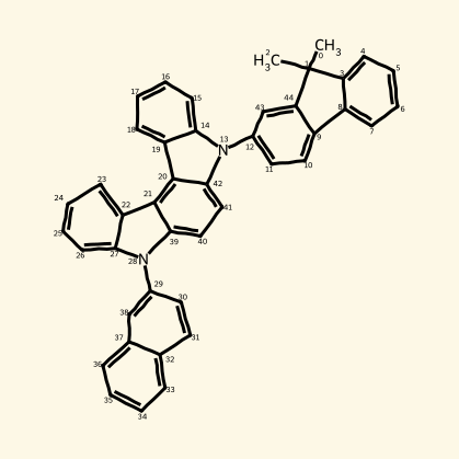 CC1(C)c2ccccc2-c2ccc(-n3c4ccccc4c4c5c6ccccc6n(-c6ccc7ccccc7c6)c5ccc43)cc21